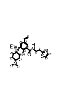 C=Cc1cc(C(=O)NCCc2nccs2)c(C)c(N(CC)[C@H]2CC[C@H](N(C)C)CC2)c1